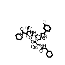 CCC[C@H](NC(=O)[C@@H]1C[C@]2(CC(c3cccc(Cl)c3)=NO2)CN1C(=O)[C@@H](NC(=O)CC1CCCCC1)C(C)(C)C)C(=O)C(=O)N1CCCCC1